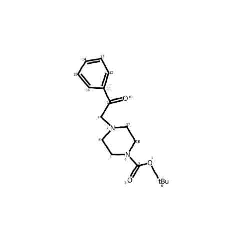 CC(C)(C)OC(=O)N1CCN(CC(=O)c2ccccc2)CC1